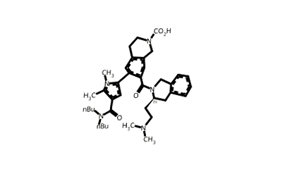 CCCCN(CCCC)C(=O)c1cc(-c2cc3c(cc2C(=O)N2Cc4ccccc4C[C@H]2CCN(C)C)CN(C(=O)O)CC3)n(C)c1C